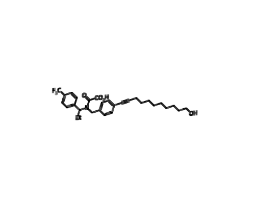 CCC(c1ccc(C(F)(F)F)cc1)N(Cc1ccc(C#CCCCCCCCCCO)cc1)C(=O)C(=O)O